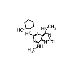 CNc1nc(N[C@@H]2CCCC[C@H]2O)nc2c(NC)nc(Cl)nc12